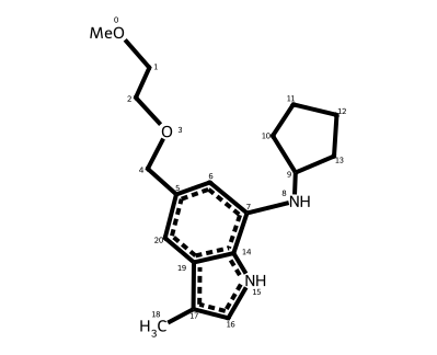 COCCOCc1cc(NC2CCCC2)c2[nH]cc(C)c2c1